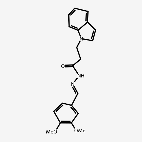 COc1ccc(C=NNC(=O)CCn2ccc3ccccc32)cc1OC